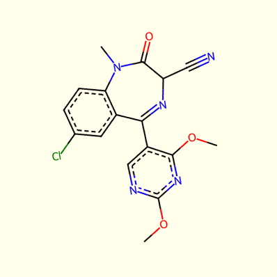 COc1ncc(C2=NC(C#N)C(=O)N(C)c3ccc(Cl)cc32)c(OC)n1